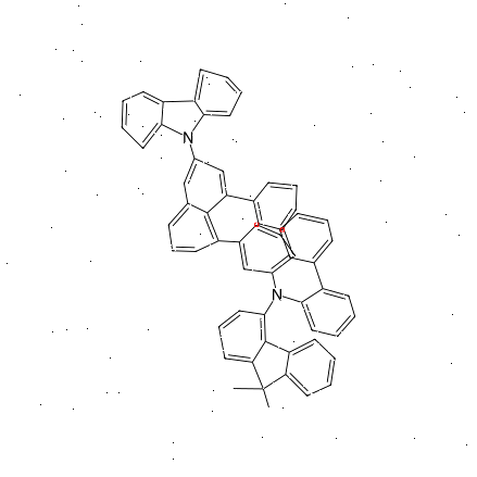 CC1(C)c2ccccc2-c2c(N(c3cccc(-c4cccc5cc(-n6c7ccccc7c7ccccc76)cc(-c6ccccc6)c45)c3)c3ccccc3-c3ccccc3)cccc21